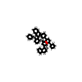 c1ccc(-c2ccc(-c3ccccc3N(c3ccc4sc5ccc6ccccc6c5c4c3)c3cccc4c3c3ccc5ccccc5c3n4-c3ccccc3)cc2)cc1